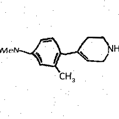 CNc1ccc(C2=CCNCC2)c(C)c1